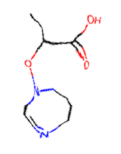 CC(ON1C=NCC1)C(=O)O